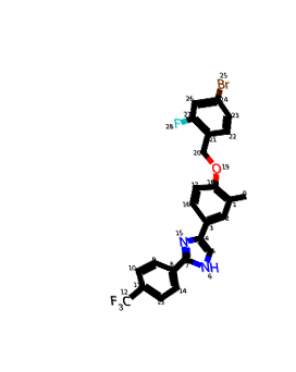 Cc1cc(-c2c[nH]c(-c3ccc(C(F)(F)F)cc3)n2)ccc1OCc1ccc(Br)cc1F